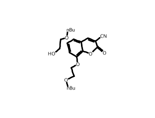 CCCCOCCO.CCCCOCCOc1cccc2cc(C#N)c(=O)oc12